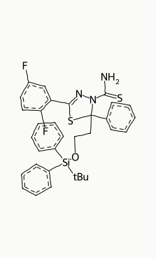 CC(C)(C)[Si](OCCC1(c2ccccc2)SC(c2cc(F)ccc2F)=NN1C(N)=S)(c1ccccc1)c1ccccc1